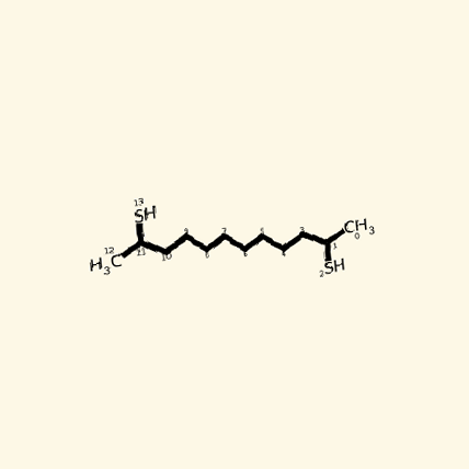 CC(S)CCCCCCCCC(C)S